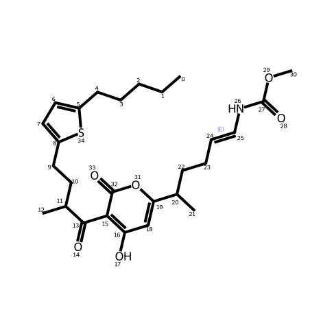 CCCCCc1ccc(CCC(C)C(=O)c2c(O)cc(C(C)CC/C=C/NC(=O)OC)oc2=O)s1